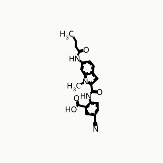 CCCC(=O)Nc1ccc2cc(C(=O)Nc3ccc(C#N)cc3C(=O)O)n(C)c2c1